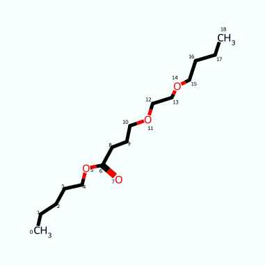 CCCCCOC(=O)CCCOCCOCCCC